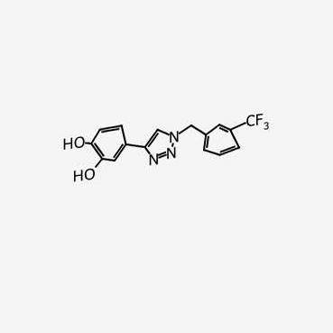 Oc1ccc(-c2cn(Cc3cccc(C(F)(F)F)c3)nn2)cc1O